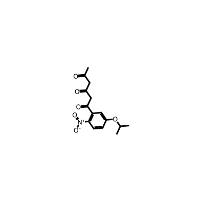 CC(=O)CC(=O)CC(=O)c1cc(OC(C)C)ccc1[N+](=O)[O-]